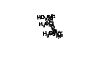 CCOC(Cc1ccc(OCc2nc(-c3ccccc3)sc2C)cc1C)C(=O)O